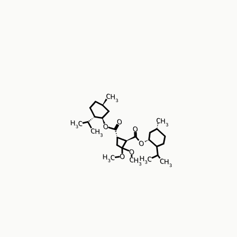 COC1(OC)C[C@H](C(=O)O[C@@H]2C[C@H](C)CC[C@H]2C(C)C)[C@H]1C(=O)O[C@@H]1C[C@H](C)CCC1C(C)C